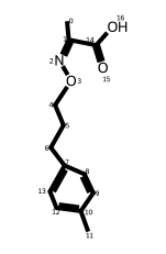 CC(=NOCCCc1ccc(C)cc1)C(=O)O